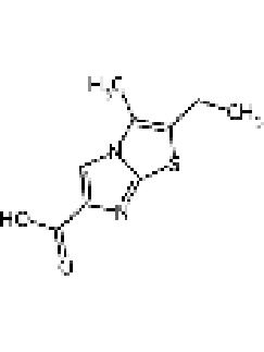 CCc1sc2nc(C(=O)O)cn2c1C